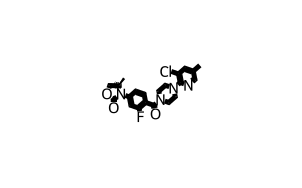 Cc1cnc(N2CCN(C(=O)c3ccc(N4C(=O)OC[C@H]4C)cc3F)CC2)c(Cl)c1